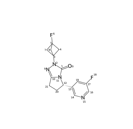 O=c1n(C23CC(F)(C2)C3)nc2n1[C@H](c1cncc(F)c1)CC2